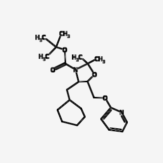 CC(C)(C)OC(=O)N1C(CC2CCCCC2)C(COc2ccccn2)OC1(C)C